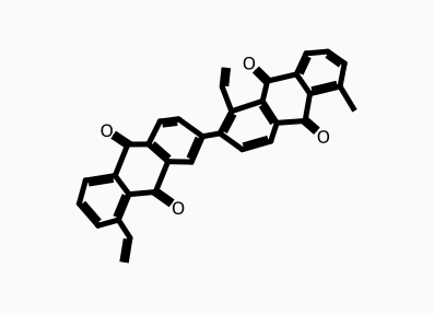 C=Cc1cccc2c1C(=O)c1cc(-c3ccc4c(c3C=C)C(=O)c3cccc(C)c3C4=O)ccc1C2=O